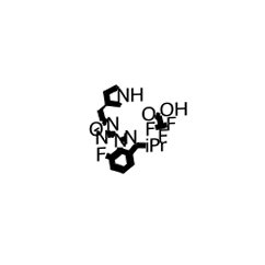 CC(C)c1nn(-c2noc(C[C@H]3CCNC3)n2)c2c(F)cccc12.O=C(O)C(F)(F)F